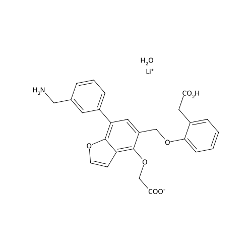 NCc1cccc(-c2cc(COc3ccccc3CC(=O)O)c(OCC(=O)[O-])c3ccoc23)c1.O.[Li+]